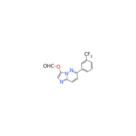 O=COc1cnc2ccc(-c3cccc(C(F)(F)F)c3)nn12